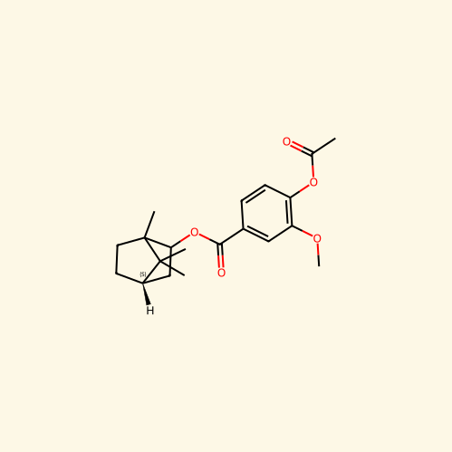 COc1cc(C(=O)OC2C[C@@H]3CCC2(C)C3(C)C)ccc1OC(C)=O